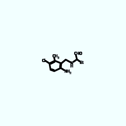 CCC(C=O)NCc1c(N)ccc(Cl)c1C